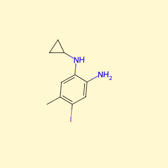 Cc1cc(NC2CC2)c(N)cc1I